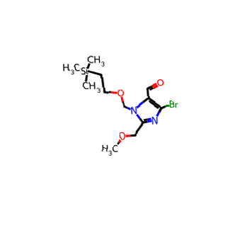 COCc1nc(Br)c(C=O)n1COCC[Si](C)(C)C